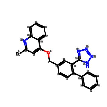 CCc1cc(OCc2ccc(-c3ccccc3)c(-c3nnn[nH]3)c2)c2ccccc2n1